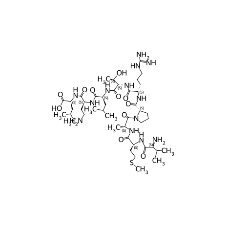 CSCC[C@H](NC(=O)[C@@H](N)C(C)C)C(=O)N[C@@H](C)C(=O)N1CCC[C@H]1C(=O)N[C@@H](CCCNC(=N)N)C(=O)N[C@H](C(=O)N[C@@H](CC(C)C)C(=O)N[C@@H](CCN)C(=O)N[C@@H](CC(C)C)C(=O)O)[C@@H](C)O